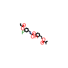 C=CC(=O)Oc1ccc(/C=C/C(O)Oc2ccc(CCOC(=O)C(=C)C)cc2)cc1F